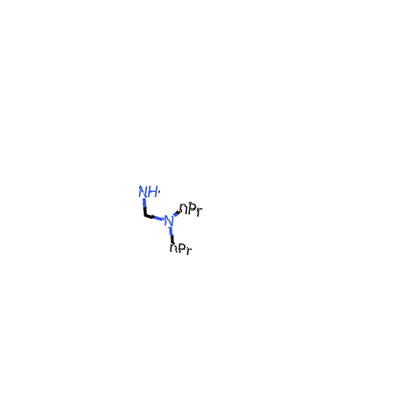 CCCN(C[NH])CCC